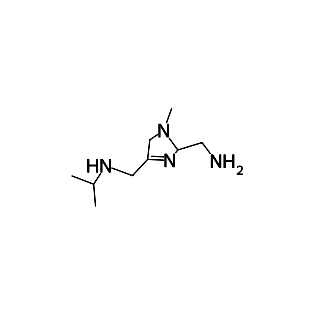 CC(C)NCC1=NC(CN)N(C)C1